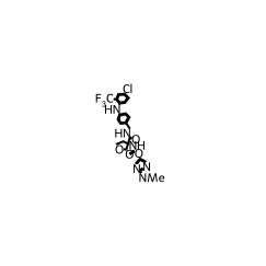 CNc1ncc(OC(=O)N[C@@]2(C(=O)NCc3ccc(Nc4ccc(Cl)cc4C(F)(F)F)cc3)CCOC2)cn1